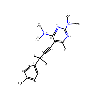 CC(=O)N(C(C)=O)c1nc(C)c(C#CC(C)(C)c2ccc(C(F)(F)F)cc2)c(N(C(C)=O)C(C)=O)n1